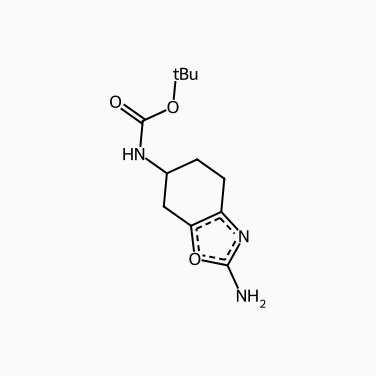 CC(C)(C)OC(=O)NC1CCc2nc(N)oc2C1